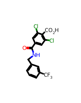 O=C(NCc1cccc(C(F)(F)F)c1)c1cc(Cl)c(C(=O)O)c(Cl)c1